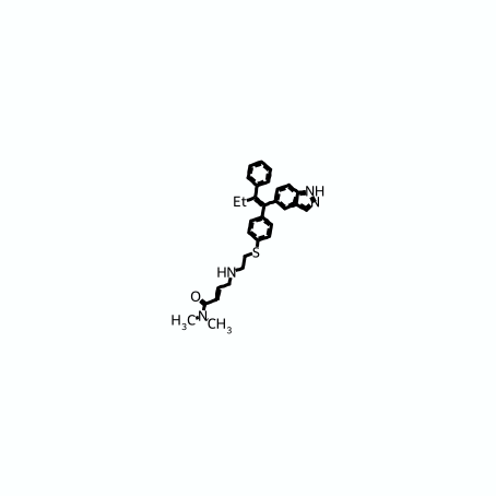 CCC(=C(c1ccc(SCCNCC=CC(=O)N(C)C)cc1)c1ccc2[nH]ncc2c1)c1ccccc1